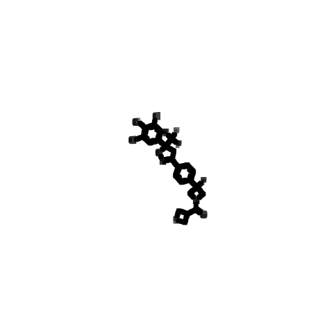 O=C(C1CSC1)N1CC(F)(c2ccc(C3=NOC(c4cc(Cl)c(Cl)c(Cl)c4)(C(F)(F)F)C3)cc2)C1